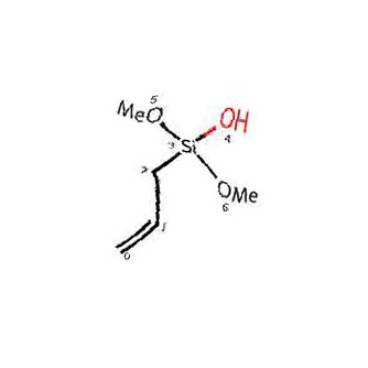 C=CC[Si](O)(OC)OC